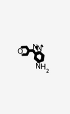 Cn1nc(C2CCOCC2)c2cc(N)ccc21